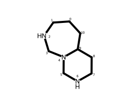 C1CNCN2CNCCC2C1